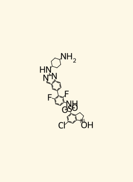 NC1CCC(Nc2ncc3cc(-c4c(F)ccc(NS(=O)(=O)c5cc(Cl)cc6c5CC[C@H]6O)c4F)ccc3n2)CC1